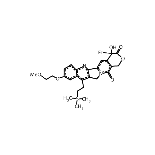 CC[C@@]1(O)C(=O)OCc2c1cc1n(c2=O)Cc2c-1nc1ccc(OCCOC)cc1c2CC[Si](C)(C)C